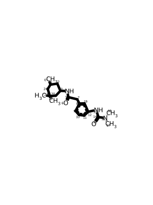 CC1CC(NC(=O)Cc2cccc(NC(=O)N(C)C)c2)CC(C)(C)C1